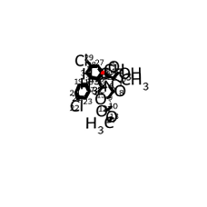 CC[C@@](C(=O)O)(N1C(=O)[C@H](CC(=O)OC)O[C@H](c2cccc(Cl)c2)[C@H]1c1ccc(Cl)cc1)C(C)(C)C